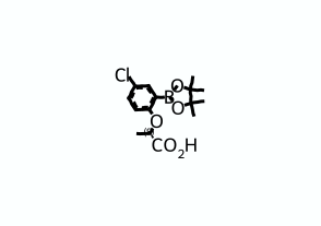 C[C@H](Oc1ccc(Cl)cc1B1OC(C)(C)C(C)(C)O1)C(=O)O